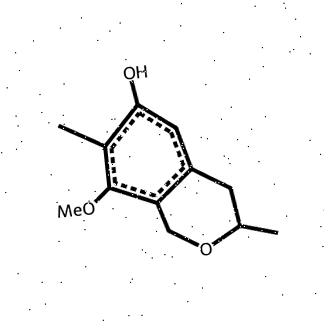 COc1c(C)c(O)cc2c1COC(C)C2